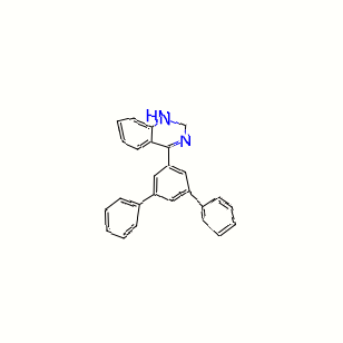 c1ccc(-c2cc(C3=NCNc4ccccc43)cc(-c3ccccc3)c2)cc1